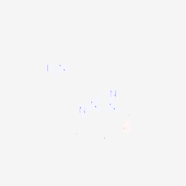 CC(=O)n1nc(-c2c(C)cc(C)c(N)c2C)n2nc(C(C)(C)C)c(Cl)c12